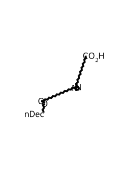 CCCCCCCCCCCCCCOC(=O)CCCCCCCCCCCCCCCN1CCN=C1CCCCCCCCCCCCCCC(=O)O